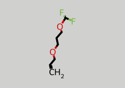 C=CCOCCCO[C](F)F